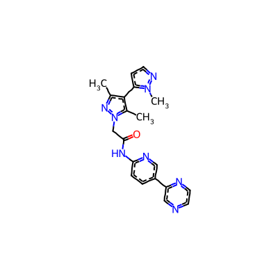 Cc1nn(CC(=O)Nc2ccc(-c3cnccn3)cn2)c(C)c1-c1ccnn1C